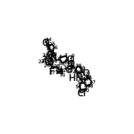 COc1ccc(CN(Cc2ccc(OC)cc2)S(=O)(=O)[C@H](C)[C@@H](C)CC=C(F)CN2CC[C@H]2COC(=O)c2ccc3c(c2)NCC2(CCCc4cc(Cl)ccc42)CO3)cc1